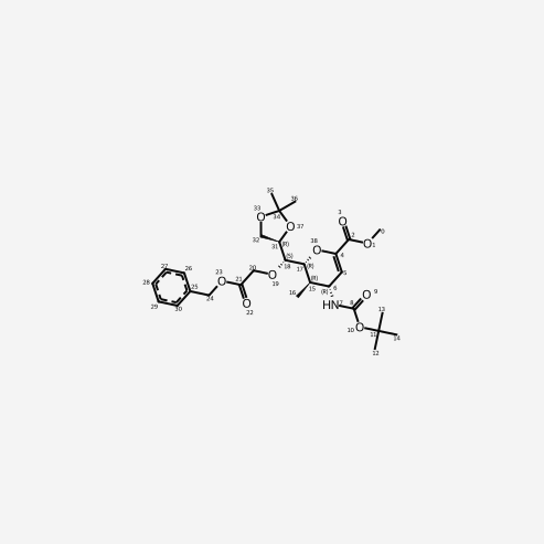 COC(=O)C1=C[C@H](NC(=O)OC(C)(C)C)[C@@H](C)[C@H]([C@H](OCC(=O)OCc2ccccc2)[C@H]2COC(C)(C)O2)O1